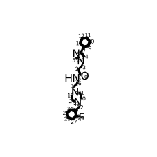 O=C(CCn1cnc(-c2ccccc2)c1)NCCN1CCN(Cc2ccccc2F)CC1